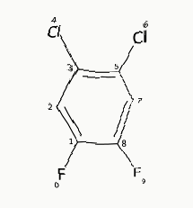 Fc1cc(Cl)c(Cl)cc1F